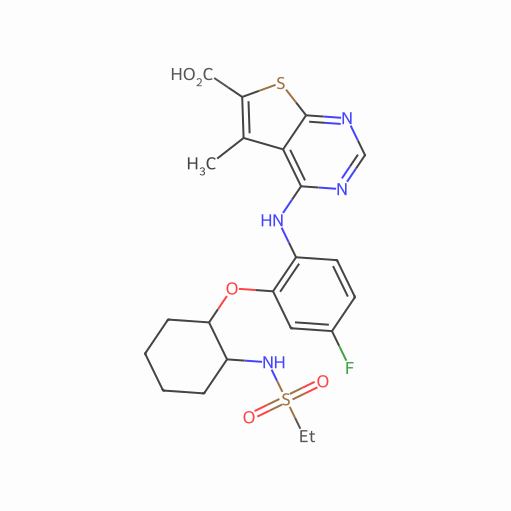 CCS(=O)(=O)NC1CCCCC1Oc1cc(F)ccc1Nc1ncnc2sc(C(=O)O)c(C)c12